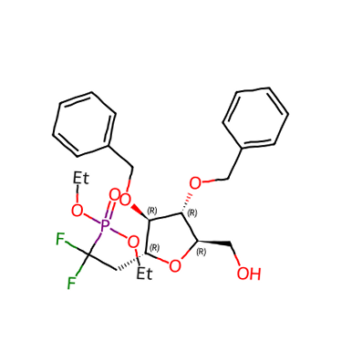 CCOP(=O)(OCC)C(F)(F)C[C@H]1O[C@H](CO)[C@@H](OCc2ccccc2)[C@@H]1OCc1ccccc1